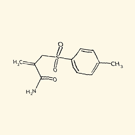 C=C(CS(=O)(=O)c1ccc(C)cc1)C(N)=O